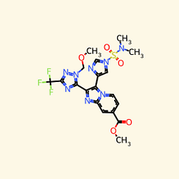 COCn1nc(C(F)(F)F)nc1-c1nc2cc(C(=O)OC)ccn2c1-c1cn(S(=O)(=O)N(C)C)cn1